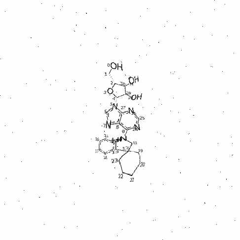 OC[C@H]1O[C@@H](n2cnc3c(NCC4(c5ccccc5)CCCCC4)ncnc32)C(O)C1O